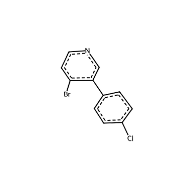 Clc1ccc(-c2cnccc2Br)cc1